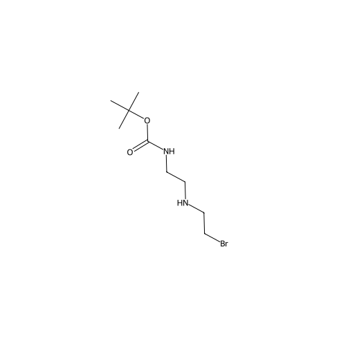 CC(C)(C)OC(=O)NCCNCCBr